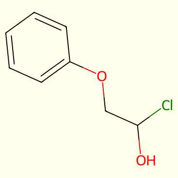 OC(Cl)COc1ccccc1